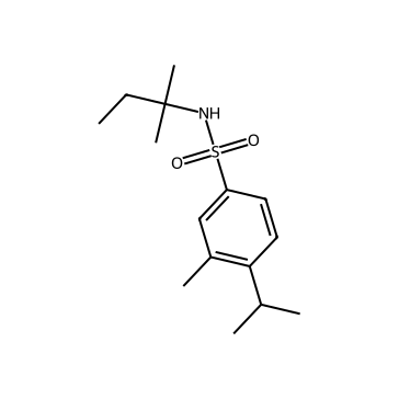 CCC(C)(C)NS(=O)(=O)c1ccc(C(C)C)c(C)c1